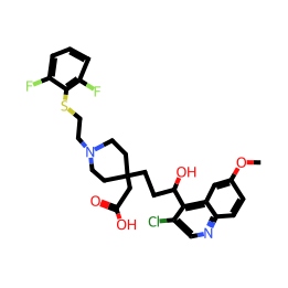 COc1ccc2ncc(Cl)c(C(O)CCC3(CC(=O)O)CCN(CCSc4c(F)cccc4F)CC3)c2c1